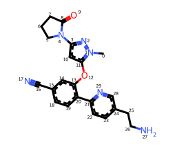 Cn1nc(N2CCCC2=O)cc1Oc1cc(C#N)ccc1-c1ccc(CCN)cn1